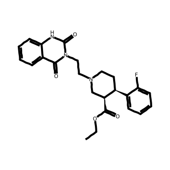 CCOC(=O)[C@H]1CN(CCn2c(=O)[nH]c3ccccc3c2=O)CC[C@H]1c1ccccc1F